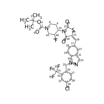 CC(C)(C)OC(=O)N1CCC(N2C(=O)S/C(=C/c3ccc4c(cnn4Cc4ccc(Cl)cc4C(F)(F)F)c3)C2=O)C(F)C1